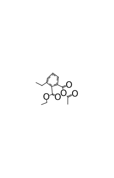 CCOC(=O)c1c(CC)cccc1C(=O)OC(C)=O